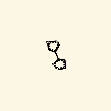 [c]1n[nH]cc1-c1ncsn1